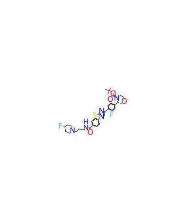 CC(C)(C)OC(=O)N1CCOCC1c1ccc(-c2cn3c(n2)sc2cc(C(=O)NCCCN4CCC(F)CC4)ccc23)c(F)c1